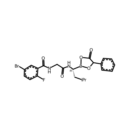 CC(C)C[C@H](NC(=O)CNC(=O)c1cc(Br)ccc1F)B1OC(=O)C(c2ccccc2)O1